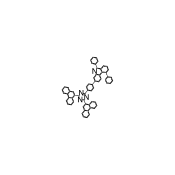 c1ccc(-c2nc3cc(-c4ccc(-c5nc(-c6cc7ccccc7c7ccccc67)nc(-c6cc7ccccc7c7ccccc67)n5)cc4)ccc3c3c(-c4ccccc4)cccc23)cc1